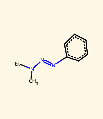 CCN(C)/N=N/c1ccccc1